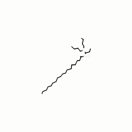 CCCCCCCCCCCCCCCCCC(=O)NC(CC)N(CCCC)CCCC